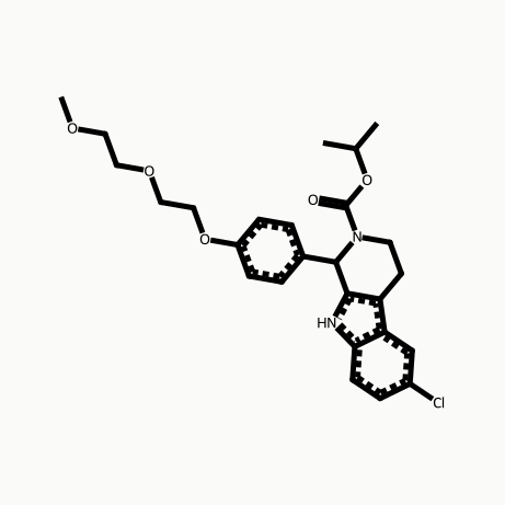 COCCOCCOc1ccc(C2c3[nH]c4ccc(Cl)cc4c3CCN2C(=O)OC(C)C)cc1